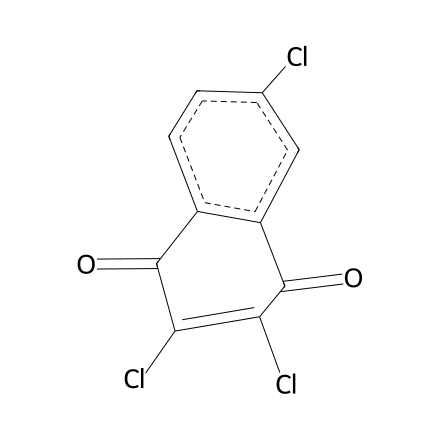 O=C1C(Cl)=C(Cl)C(=O)c2cc(Cl)ccc21